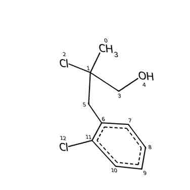 CC(Cl)(CO)Cc1ccccc1Cl